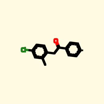 Cc1cc(Cl)ccc1CC(=O)c1cc[c]cc1